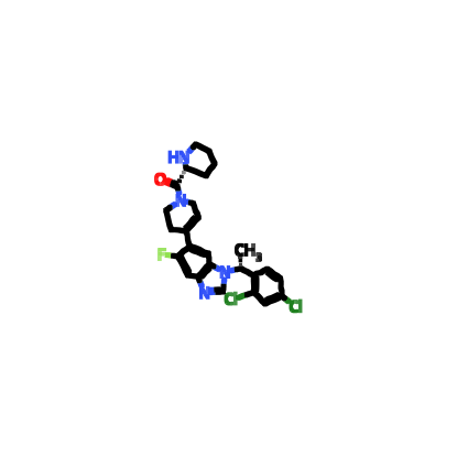 C[C@H](c1ccc(Cl)cc1Cl)n1cnc2cc(F)c(C3=CCN(C(=O)[C@H]4CCCCN4)CC3)cc21